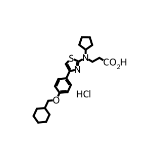 Cl.O=C(O)CCN(c1nc(-c2ccc(OCC3CCCCC3)cc2)cs1)C1CCCC1